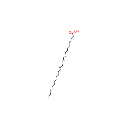 CCCCCCCCCCCCCC=CCC=CCCCCCCCCCC(=O)O